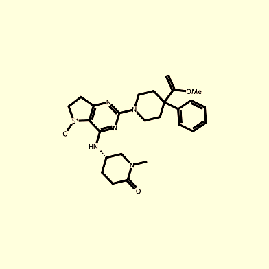 C=C(OC)C1(c2ccccc2)CCN(c2nc3c(c(N[C@H]4CCC(=O)N(C)C4)n2)[S+]([O-])CC3)CC1